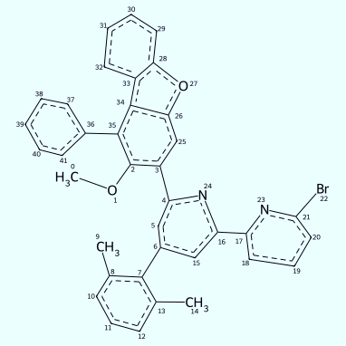 COc1c(-c2cc(-c3c(C)cccc3C)cc(-c3cccc(Br)n3)n2)cc2oc3ccccc3c2c1-c1ccccc1